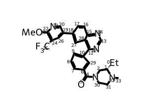 CC[C@H]1CN(C(=O)c2cccc(-c3ncnc4ccc(-c5cnc(OC)c(C(F)(F)F)c5)cc34)c2)CCN1C